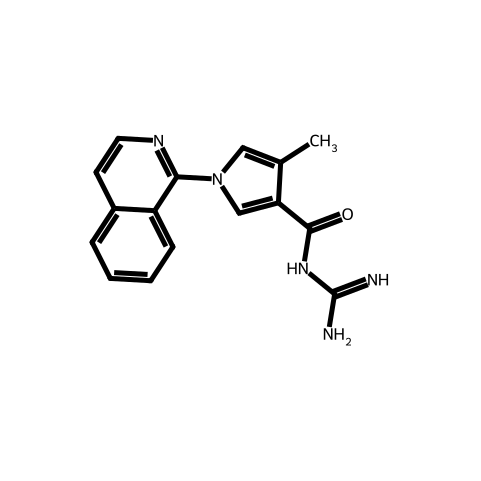 Cc1cn(-c2nccc3ccccc23)cc1C(=O)NC(=N)N